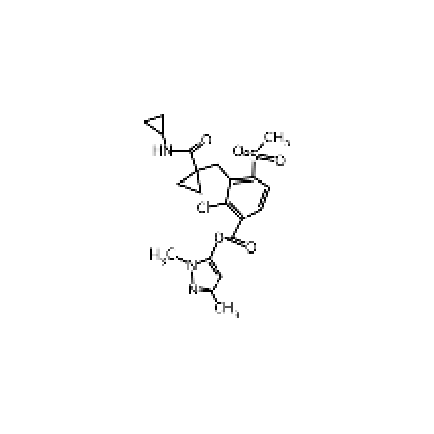 Cc1cc(OC(=O)c2ccc(S(C)(=O)=O)c(CC3(C(=O)NC4CC4)CC3)c2Cl)n(C)n1